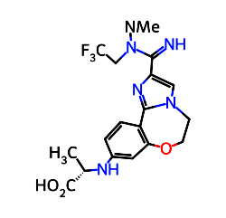 CNN(CC(F)(F)F)C(=N)c1cn2c(n1)-c1ccc(N[C@@H](C)C(=O)O)cc1OCC2